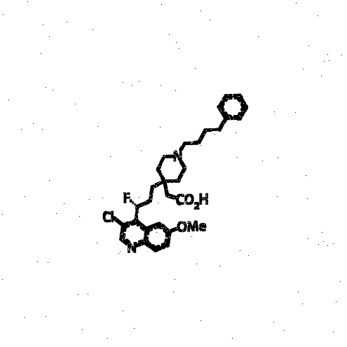 COc1ccc2ncc(Cl)c([C@H](F)CCC3(CC(=O)O)CCN(CCCCc4ccccc4)CC3)c2c1